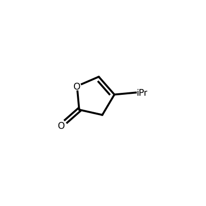 CC(C)C1=COC(=O)C1